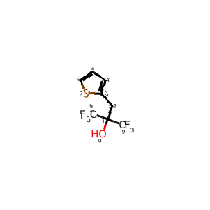 OC([C]c1cccs1)(C(F)(F)F)C(F)(F)F